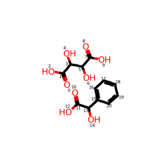 O=C(O)C(O)C(O)C(=O)O.O=C(O)C(O)c1ccccc1